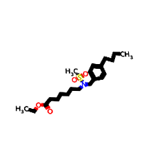 CCCCc1ccc(CN(CCCCCCC(=O)OCC)S(C)(=O)=O)cc1